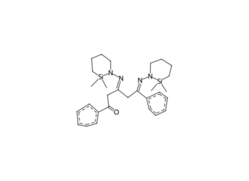 C[Si]1(C)CCCCN1N=C(CC(=O)c1ccccc1)CC(=NN1CCCC[Si]1(C)C)c1ccccc1